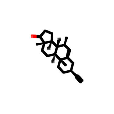 C#C[C@H]1CC[C@@]2(C)C(=C[C@H](C)[C@@H]3[C@@H]2CC[C@]2(C)C(=O)CC[C@@H]32)C1